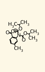 Cc1ccc(C(=O)O)c(N(C(=O)OC(C)C)C(=O)OC(C)C)c1